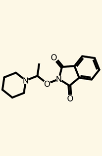 CC(ON1C(=O)c2ccccc2C1=O)N1CCCCC1